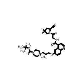 CC(C)(C)OC(=O)N1CC[N+](C)(CCCOc2ccc3nccc(C(=O)NCC(=O)N4CC(F)(F)CC4C#N)c3c2)CC1